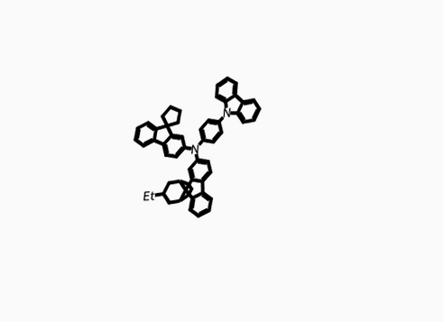 CCC1CC2CCCC(C1)C21c2ccccc2-c2ccc(N(c3ccc(-n4c5ccccc5c5ccccc54)cc3)c3ccc4c(c3)C3(CCCC3)c3ccccc3-4)cc21